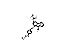 CCOc1ccc(COc2cc(OC(=O)N(C)C)cc3c2c(C#N)c2ccccn23)cc1